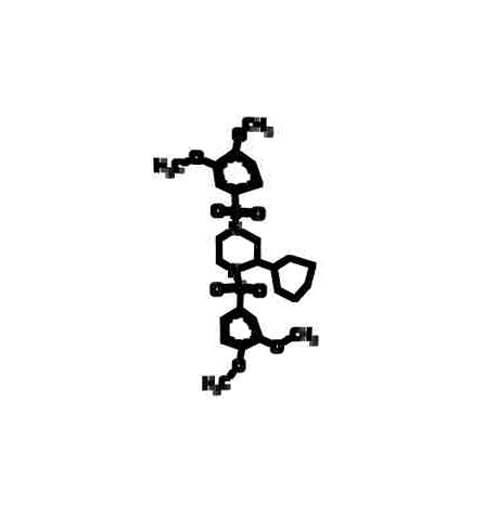 COc1ccc(S(=O)(=O)N2CCN(S(=O)(=O)c3ccc(OC)c(OC)c3)C(C3CCCCC3)C2)cc1OC